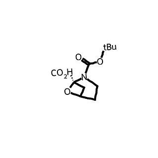 CC(C)(C)OC(=O)N1CCC2C[C@@]1(C(=O)O)O2